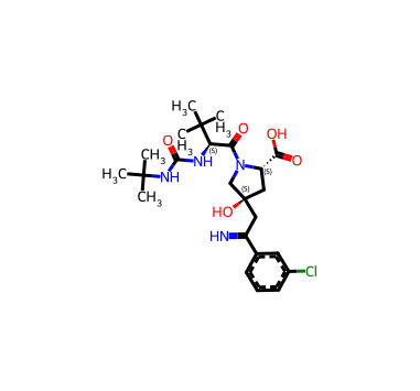 CC(C)(C)NC(=O)N[C@H](C(=O)N1C[C@@](O)(CC(=N)c2cccc(Cl)c2)C[C@H]1C(=O)O)C(C)(C)C